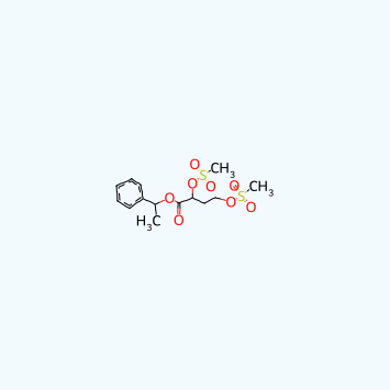 CC(OC(=O)C(CCOS(C)(=O)=O)OS(C)(=O)=O)c1ccccc1